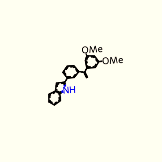 C=C(c1cc(OC)cc(OC)c1)c1cccc(-c2cc3ccccc3[nH]2)c1